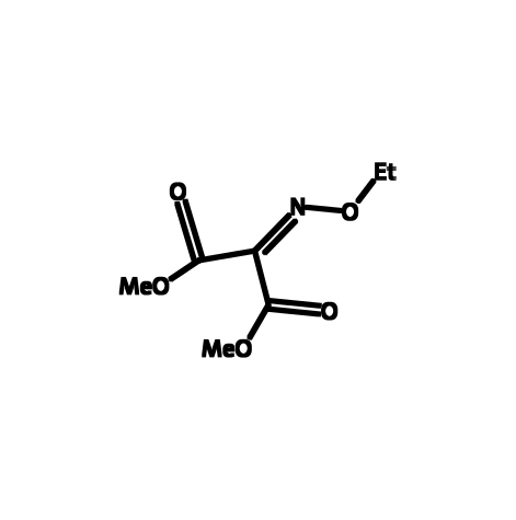 CCON=C(C(=O)OC)C(=O)OC